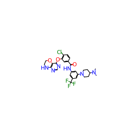 CN(C)C1CCN(c2cc(NC(=O)c3ccc(Cl)c(Oc4ncnc5c4OCCN5)c3)cc(C(F)(F)F)c2)CC1